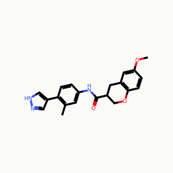 COc1ccc2c(c1)CC(C(=O)Nc1ccc(-c3cn[nH]c3)c(C)c1)CO2